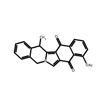 CC(=O)Oc1cccc2c1C(=O)c1cn3c(c1C2=O)C(C)c1ccccc1C3